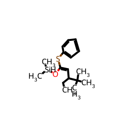 CCC(C=C(O[SiH](C)C)Sc1ccccc1)C(C)(C)C